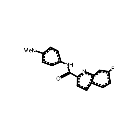 CNc1ccc(NC(=O)c2ccc3ccc(F)cc3n2)cc1